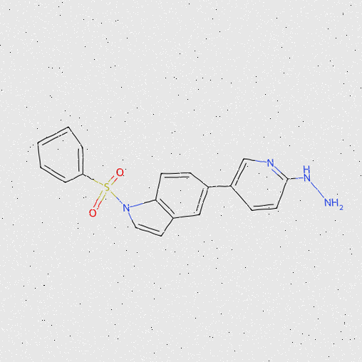 NNc1ccc(-c2ccc3c(ccn3S(=O)(=O)c3ccccc3)c2)cn1